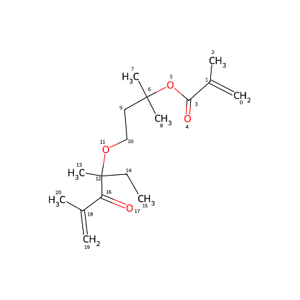 C=C(C)C(=O)OC(C)(C)CCOC(C)(CC)C(=O)C(=C)C